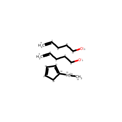 C=CCCC[O-].C=CCCC[O-].[CH3][Hf+2][C]1=CC=CC1